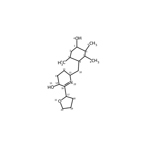 CC1CC(O)C(C)C(C)C1CC1CCC(O)C(C2CCCO2)=N1